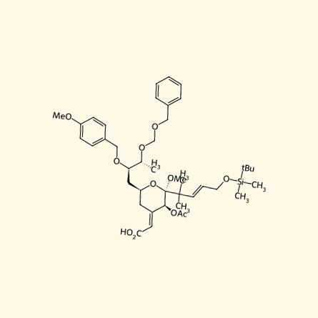 COc1ccc(CO[C@H](C[C@@H]2C/C(=C\C(=O)O)[C@H](OC(C)=O)[C@](OC)(C(C)(C)/C=C/CO[Si](C)(C)C(C)(C)C)O2)[C@@H](C)OCOCc2ccccc2)cc1